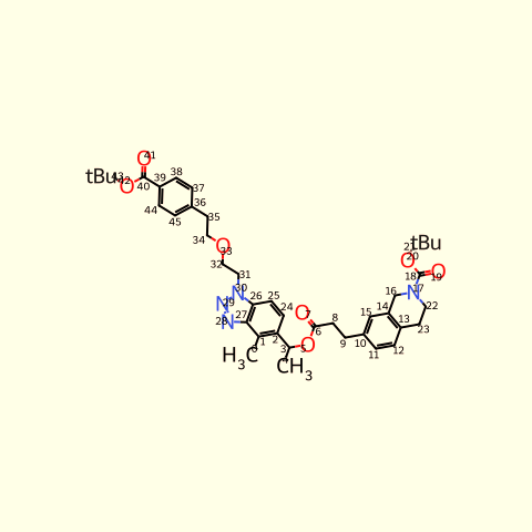 Cc1c(C(C)OC(=O)CCc2ccc3c(c2)CN(C(=O)OC(C)(C)C)CC3)ccc2c1nnn2CCOCCc1ccc(C(=O)OC(C)(C)C)cc1